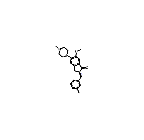 COc1cc2c(cc1N1CCN(C)CC1)C/C(=C\c1cccc(C)c1)C2=O